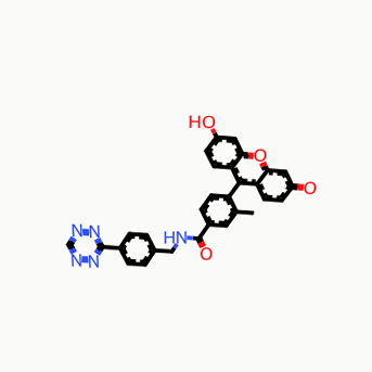 Cc1cc(C(=O)NCc2ccc(-c3nncnn3)cc2)ccc1-c1c2ccc(=O)cc-2oc2cc(O)ccc12